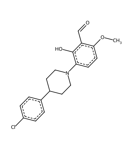 COc1ccc(N2CCC(c3ccc(Cl)cc3)CC2)c(O)c1C=O